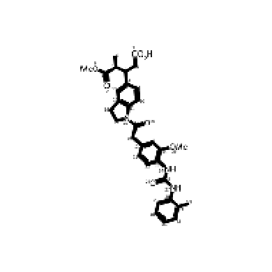 COC(=O)C(C)C(CC(=O)O)c1ccc2c(c1)CCN2C(=O)Cc1ccc(NC(=O)Nc2ccccc2C)c(OC)c1